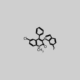 Cn1c(=O)c(-n2ccc3ccc(F)cc32)c(-c2ccccc2)c2cc(Cl)ccc21